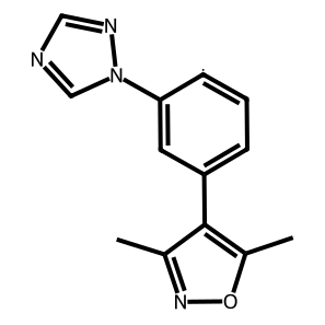 Cc1noc(C)c1-c1cc[c]c(-n2cncn2)c1